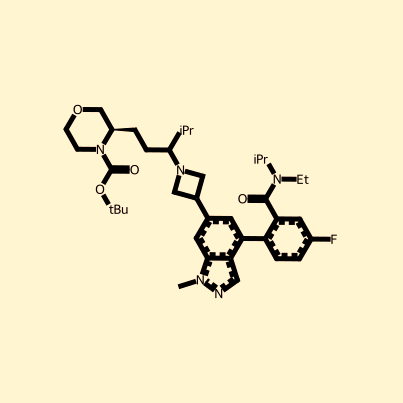 CCN(C(=O)c1cc(F)ccc1-c1cc(C2CN(C(CC[C@@H]3COCCN3C(=O)OC(C)(C)C)C(C)C)C2)cc2c1cnn2C)C(C)C